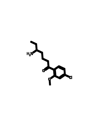 CCC(N)CCCC(=O)c1ccc(Cl)cc1OC